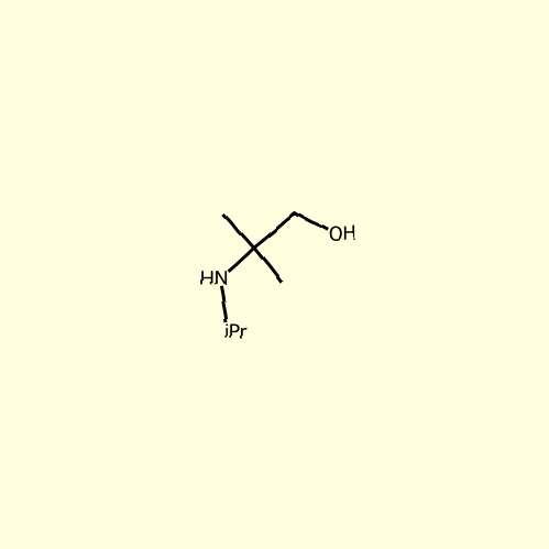 CC(C)NC(C)(C)CO